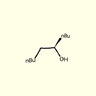 CCCCC[C@H](O)CCCC